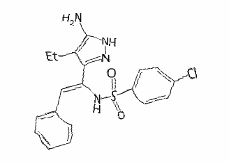 CCc1c(C(=Cc2ccccc2)NS(=O)(=O)c2ccc(Cl)cc2)n[nH]c1N